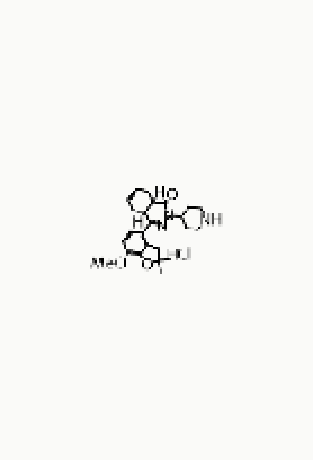 COc1ccc(C2=NN(C3CCNCC3)C(=O)[C@H]3CC=CC[C@@H]23)c2c1OC(C)(C)C2.Cl